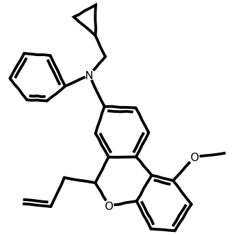 C=CCC1Oc2cccc(OC)c2-c2ccc(N(CC3CC3)c3ccccc3)cc21